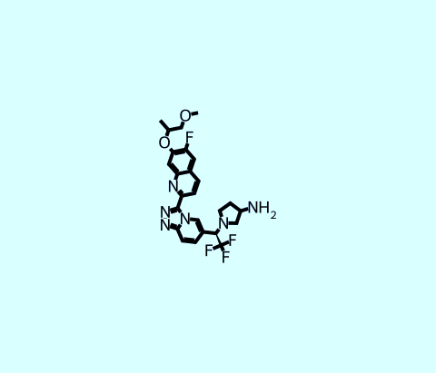 COCC(C)Oc1cc2nc(-c3nnc4ccc([C@@H](N5CCC(N)C5)C(F)(F)F)cn34)ccc2cc1F